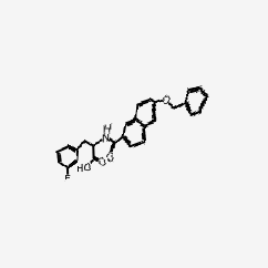 O=C(NC(Cc1cccc(F)c1)C(=O)O)c1ccc2cc(OCc3ccccc3)ccc2c1